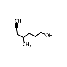 C#CCC(C)CCCO